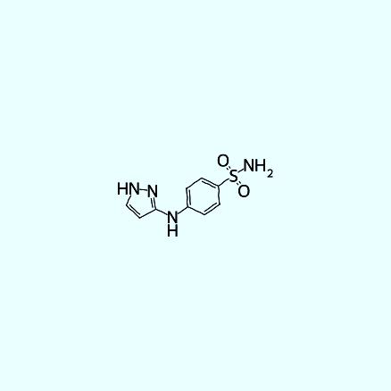 NS(=O)(=O)c1ccc(Nc2cc[nH]n2)cc1